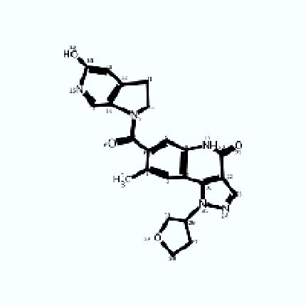 Cc1cc2c(cc1C(=O)N1CCc3cc(O)ncc31)[nH]c(=O)c1cnn(C3CCOC3)c12